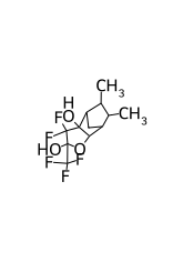 CC1C(C)C2CC1C1OC(O)(C(F)(F)F)C(F)(F)C21O